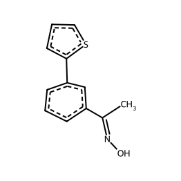 C/C(=N\O)c1cccc(-c2cccs2)c1